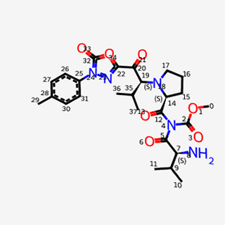 COC(=O)N(C(=O)[C@@H](N)C(C)C)C(=O)[C@@H]1CCCN1[C@H](C(=O)c1nn(-c2ccc(C)cc2)c(=O)o1)C(C)C